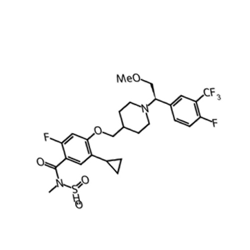 COC[C@@H](c1ccc(F)c(C(F)(F)F)c1)N1CCC(COc2cc(F)c(C(=O)N(C)[SH](=O)=O)cc2C2CC2)CC1